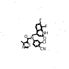 Cc1ncsc1C(=O)N(Cc1cc(=O)[nH]c2c(F)c(F)ccc12)c1ccc(C#N)c(Cl)c1